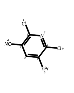 CCCc1cc(C#N)c(Cl)nc1Cl